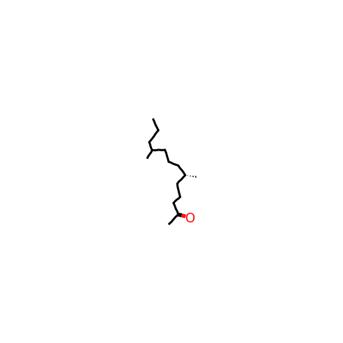 CCCC(C)CCC[C@H](C)CCCC(C)=O